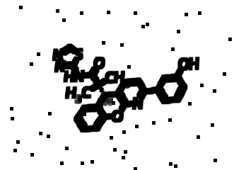 CC(C)(C(=O)Nc1nncs1)[C@H]1c2ccccc2Oc2nc(-c3cccc(O)c3)ccc21